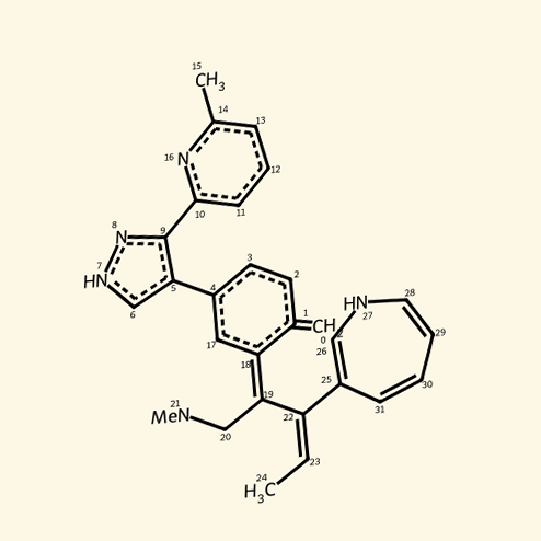 C=c1ccc(-c2c[nH]nc2-c2cccc(C)n2)c/c1=C(CNC)/C(=C\C)C1=CNC=CC=C1